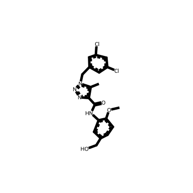 COc1ccc(CO)cc1NC(=O)c1nnn(Cc2cc(Cl)cc(Cl)c2)c1C